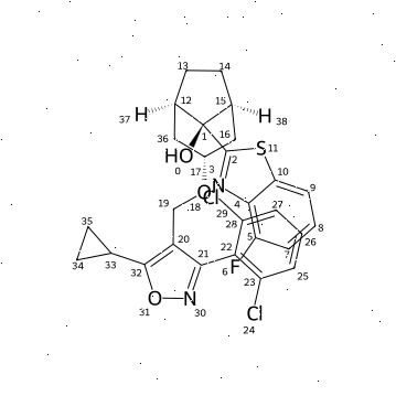 O[C@@]1(c2nc3c(F)cccc3s2)[C@@H]2CC[C@H]1C[C@H](OCc1c(-c3c(Cl)cccc3Cl)noc1C1CC1)C2